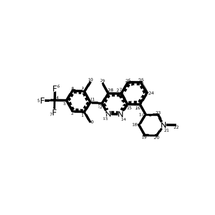 Cc1cc(C(F)(F)F)cc(C)c1-c1nnc2c(C3CCCN(C)C3)cccc2c1C